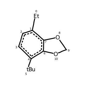 CCc1ccc(C(C)(C)C)c2c1OCO2